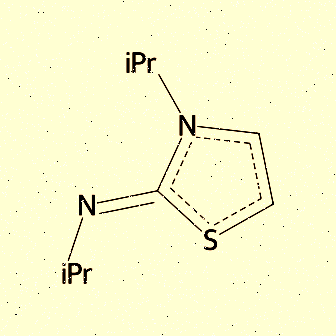 CC(C)/N=c1\sccn1C(C)C